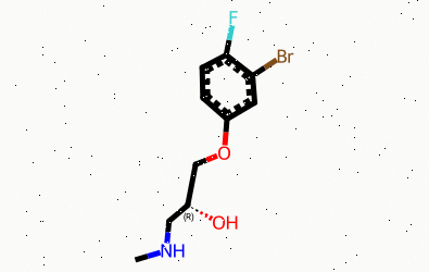 CNC[C@@H](O)COc1ccc(F)c(Br)c1